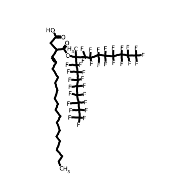 CCCCCCCCCCCCCCCCC=CC(CC(=O)O)C(=O)OC(C)(C(F)(F)C(F)(F)C(F)(F)C(F)(F)C(F)(F)C(F)(F)C(F)(F)C(F)(F)F)C(F)(F)C(F)(F)C(F)(F)C(F)(F)C(F)(F)C(F)(F)C(F)(F)C(F)(F)F